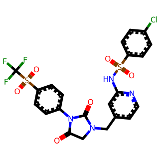 O=C1CN(Cc2ccnc(NS(=O)(=O)c3ccc(Cl)cc3)c2)C(=O)N1c1ccc(S(=O)(=O)C(F)(F)F)cc1